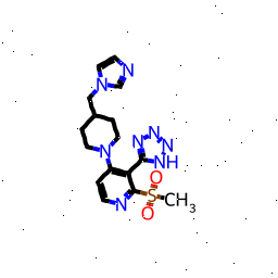 CS(=O)(=O)c1nccc(N2CCC(Cn3ccnc3)CC2)c1-c1nnn[nH]1